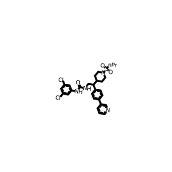 CCCS(=O)(=O)N1CCC(C(CNC(=O)Nc2cc(Cl)cc(Cl)c2)c2ccc(-c3cccnc3)cc2)CC1